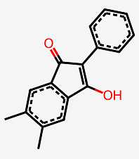 Cc1cc2c(cc1C)C(O)=C(c1ccccc1)C2=O